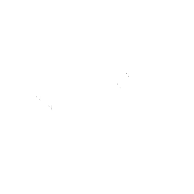 Cc1nn(CCC(C)CCc2cnn(C)c2C)cc1CCC(C)C